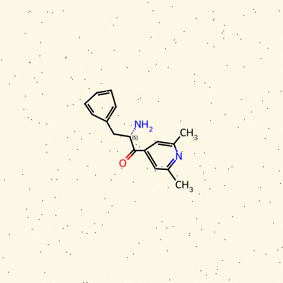 Cc1[c]c(C(=O)[C@@H](N)Cc2ccccc2)cc(C)n1